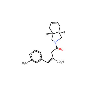 Cc1cccc(/C=C(\CC(=O)N2C[C@H]3CC=CC[C@H]3C2)C(=O)O)c1